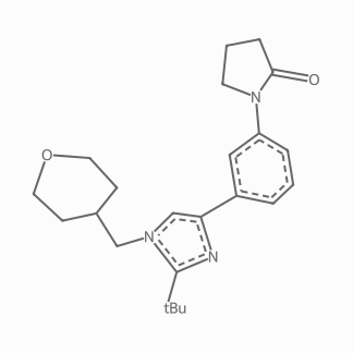 CC(C)(C)c1nc(-c2cccc(N3CCCC3=O)c2)cn1CC1CCOCC1